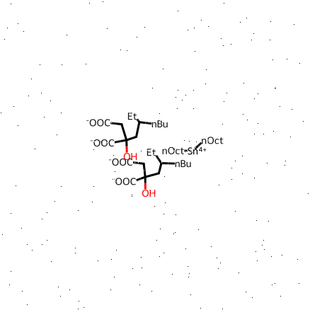 CCCCC(CC)CC(O)(CC(=O)[O-])C(=O)[O-].CCCCC(CC)CC(O)(CC(=O)[O-])C(=O)[O-].CCCCCCC[CH2][Sn+4][CH2]CCCCCCC